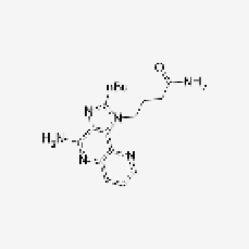 CCCCc1nc2c(N)nc3cccnc3c2n1CCCC(N)=O